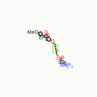 COc1ccc(-c2cc3ccc(OCCC(F)(F)C(F)(F)C(F)(F)C(F)(F)CCOC(=O)C(C)(CC(C)(C)N)C(C)(C)N)cc3oc2=O)c(C(F)(F)F)c1